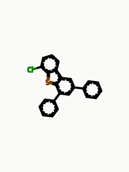 Clc1cccc2c1sc1c(-c3ccccc3)cc(-c3ccccc3)cc12